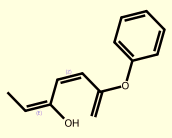 C=C(/C=C\C(O)=C/C)Oc1ccccc1